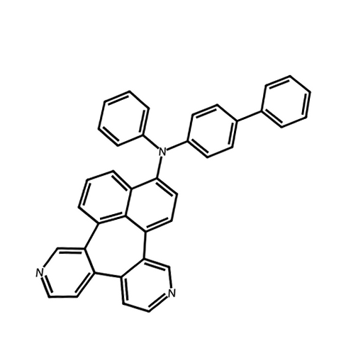 c1ccc(-c2ccc(N(c3ccccc3)c3ccc4c5c(cccc35)-c3cnccc3-c3ccncc3-4)cc2)cc1